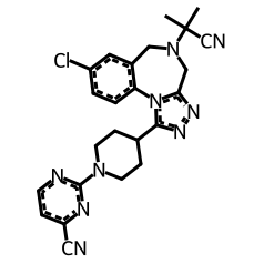 CC(C)(C#N)N1Cc2cc(Cl)ccc2-n2c(nnc2C2CCN(c3nccc(C#N)n3)CC2)C1